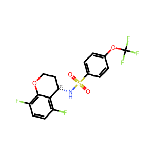 O=S(=O)(N[C@H]1CCOc2c(F)ccc(F)c21)c1ccc(OC(F)(F)F)cc1